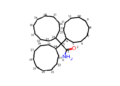 NC(=O)C(C1CCCCCCCCC1)(C1CCCCCCCCC1)C1CCCCCCCCC1